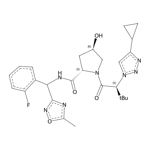 Cc1nc(C(NC(=O)[C@@H]2C[C@@H](O)CN2C(=O)[C@@H](n2cc(C3CC3)nn2)C(C)(C)C)c2ccccc2F)no1